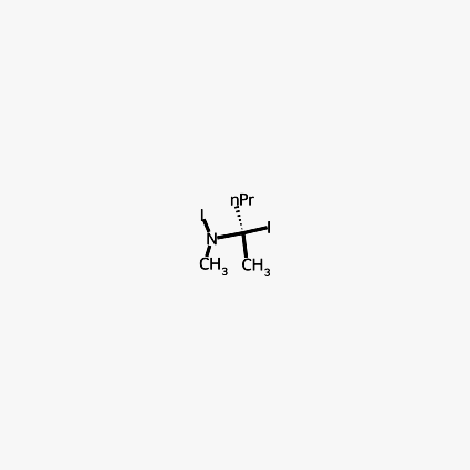 CCC[C@@](C)(I)N(C)I